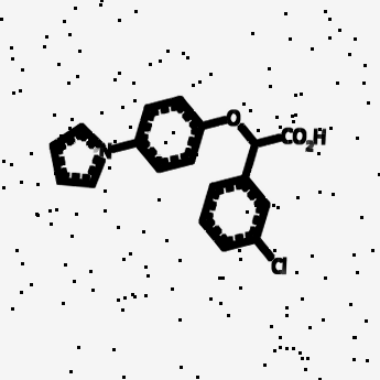 O=C(O)C(Oc1ccc(-n2cccc2)cc1)c1cccc(Cl)c1